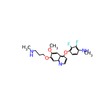 CNCCCOc1cc2nccc(Oc3ccc(NC)c(F)c3F)c2cc1OC